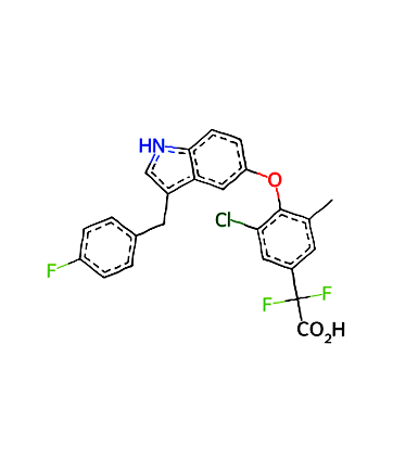 Cc1cc(C(F)(F)C(=O)O)cc(Cl)c1Oc1ccc2[nH]cc(Cc3ccc(F)cc3)c2c1